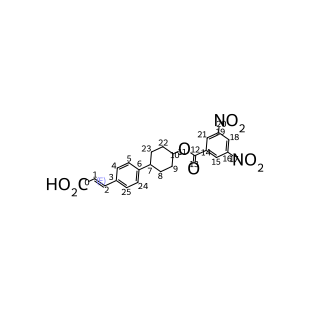 O=C(O)/C=C/c1ccc(C2CCC(OC(=O)c3cc([N+](=O)[O-])cc([N+](=O)[O-])c3)CC2)cc1